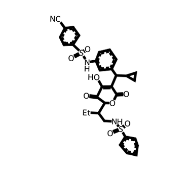 CCC(CNS(=O)(=O)c1ccccc1)C1OC(=O)C(C(c2cccc(NS(=O)(=O)c3ccc(C#N)cc3)c2)C2CC2)=C(O)C1=O